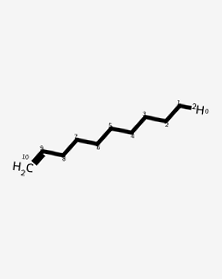 [2H]CCCCCCCCC=C